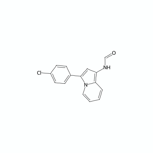 O=CNc1cc(-c2ccc(Cl)cc2)n2ccccc12